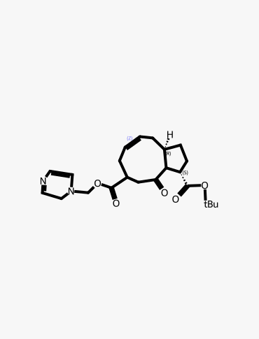 CC(C)(C)OC(=O)[C@H]1CC[C@@H]2C/C=C\CC(C(=O)OCN3C=CN=CC3)CC(=O)C21